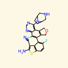 N#Cc1c(N)sc2ccc(F)c(-c3c4c(c5c(N6C7CCC6CNC7)ncnc5c3F)COC4)c12